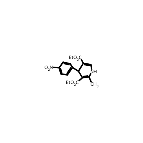 CCOC(=O)C1=CNC(C)=C(C(=O)OCC)C1c1ccc([N+](=O)[O-])cc1